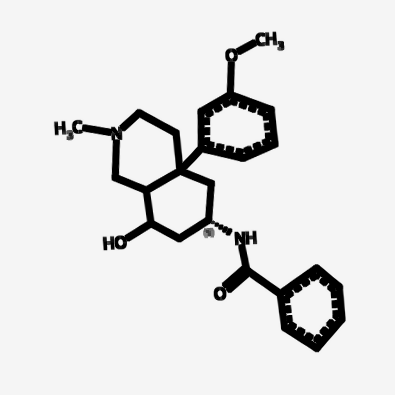 COc1cccc(C23CCN(C)CC2C(O)C[C@@H](NC(=O)c2ccccc2)C3)c1